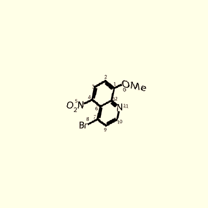 COc1ccc([N+](=O)[O-])c2c(Br)ccnc12